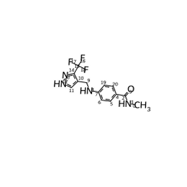 CNC(=O)c1ccc(NCc2c[nH]nc2C(F)(F)F)cc1